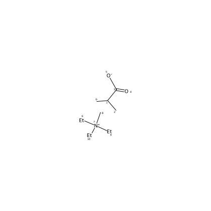 CC(C)C(=O)[O-].CC[N+](C)(CC)CC